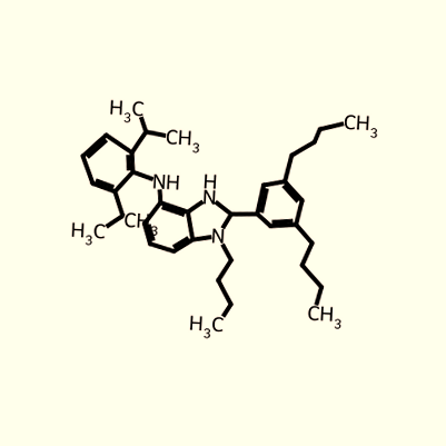 CCCCc1cc(CCCC)cc(C2Nc3c(Nc4c(C(C)C)cccc4C(C)C)cccc3N2CCCC)c1